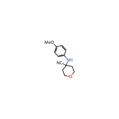 COc1ccc(NC2(C#N)CCOCC2)cc1